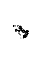 N#Cc1ccc([C@H]2C=Cc3cccc(C4CCN(Cc5nc6ccc(C(=O)O)nc6n5[C@@H]5[SiH2][C@H]5[C@@H]5CCO5)CC4)c3O2)c(F)c1